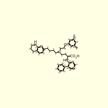 O=C(O)C(CCN(CCCCc1ccc2c(n1)NCCC2)CCOc1cc(F)cc(F)c1)Nc1ncncc1-c1ccccc1